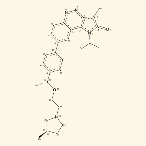 CC(C)n1c(=O)n(C)c2nnc3ccc(-c4ccc([C@@H](C)OCCN5CC[C@@H](C)C5)nc4)cc3c21